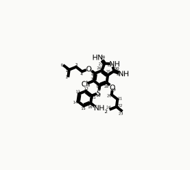 CC(C)CCOc1c(Cl)c(Sc2ccccc2N)c(OCCC(C)C)c2c1C(=N)NC2=N